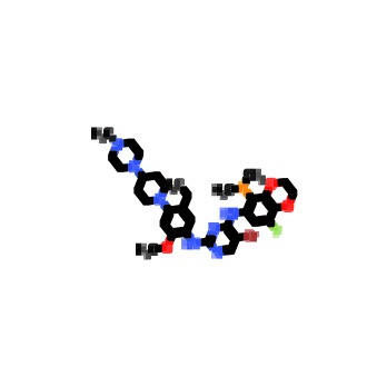 CCc1cc(Nc2ncc(Br)c(Nc3cc(F)c4c(c3P(C)C)OCCO4)n2)c(OC)cc1N1CCC(N2CCN(C)CC2)CC1